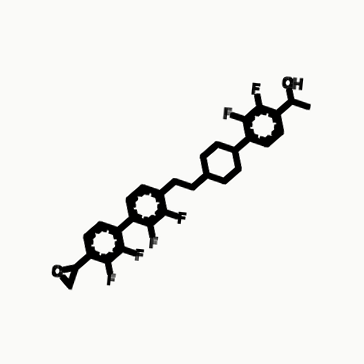 CC(O)c1ccc(C2CCC(CCc3ccc(-c4ccc(C5CO5)c(F)c4F)c(F)c3F)CC2)c(F)c1F